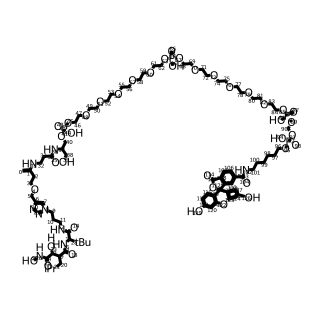 C=C(CCOCc1cn(CCCNC(=O)C(NC(=O)C(CC(C)C)C(O)C(=O)NO)C(C)(C)C)nn1)NCCC(=O)NC(CO)COP(=O)(O)OCCOCCOCCOCCOCCOCCOP(=O)(O)OCCOCCOCCOCCOCCOCCOP(=O)(O)OCOP(=O)(O)OCCCCCCNC(=O)c1ccc2c(c1)C1(OC2=O)c2ccc(O)cc2Oc2cc(O)ccc21